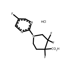 Cl.O=C(O)C1(F)CCN(c2ncc(F)cn2)CC1(F)F